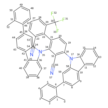 Cc1ccccc1-c1ccc2c3ccccc3n(-c3ccc(-c4c(C#N)cccc4C(F)(F)F)c(-n4c5ccccc5c5ccc(-c6ccccc6C)cc54)c3C#N)c2c1